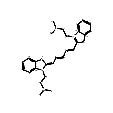 CN(C)CCN1/C(=C/C=C/C=C/c2sc3ccccc3[n+]2CCN(C)C)Sc2ccccc21